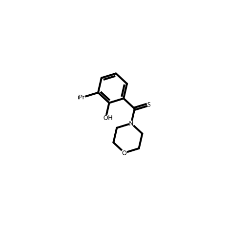 CC(C)c1cccc(C(=S)N2CCOCC2)c1O